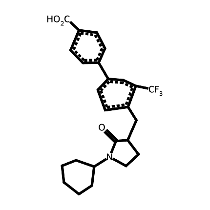 O=C(O)c1ccc(-c2ccc(CC3CCN(C4CCCCC4)C3=O)c(C(F)(F)F)c2)cc1